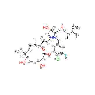 CC[C@H](OC)[C@@H](C)C1O[C@@H]1C(NCc1ccc(Cl)c(F)c1)C(C)(O)/C=C/C=C(\C)[C@H]1OC(=O)C[C@H](O)CC[C@@](C)(O)[C@@H](OC(C)=O)/C=C/[C@@H]1C